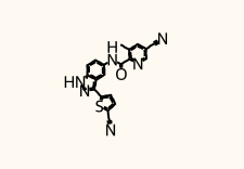 Cc1cc(C#N)cnc1C(=O)Nc1ccc2[nH]nc(-c3ccc(C#N)s3)c2c1